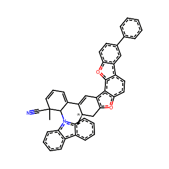 C[C@@H]1Cc2oc3ccc4c5cc(-c6ccccc6)ccc5oc4c3c2C=C1C1=CC=CC(C)(C#N)C1n1c2ccccc2c2ccccc21